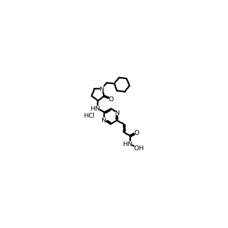 Cl.O=C(C=Cc1cnc(NC2CCN(CC3CCCCC3)C2=O)cn1)NO